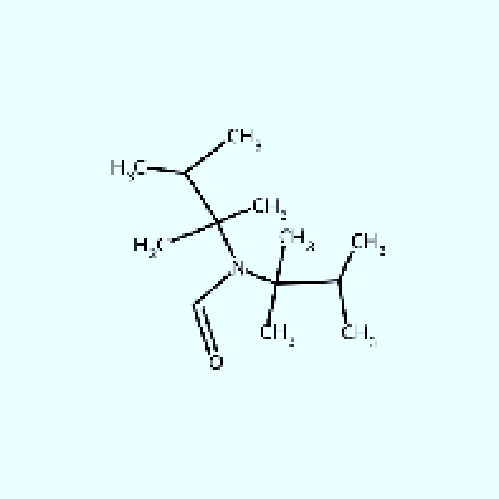 CC(C)C(C)(C)N(C=O)C(C)(C)C(C)C